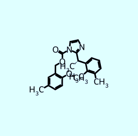 COc1ccc(C)cc1COC(=O)n1ccnc1[C@@H](C)c1cccc(C)c1C